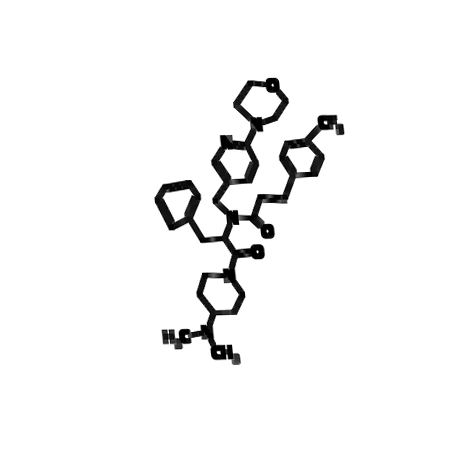 CN(C)C1CCN(C(=O)C(Cc2ccccc2)N(Cc2ccc(N3CCOCC3)nc2)C(=O)C=Cc2ccc(C(F)(F)F)cc2)CC1